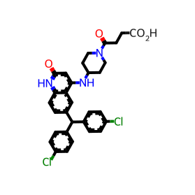 O=C(O)CCC(=O)N1CCC(Nc2cc(=O)[nH]c3ccc(C(c4ccc(Cl)cc4)c4ccc(Cl)cc4)cc23)CC1